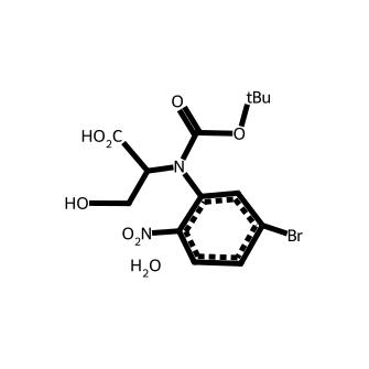 CC(C)(C)OC(=O)N(c1cc(Br)ccc1[N+](=O)[O-])C(CO)C(=O)O.O